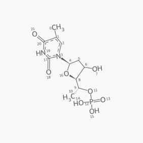 Cc1cn([C@H]2CC(O)[C@@H]([C@@H](C)OP(=O)(O)O)O2)c(=O)[nH]c1=O